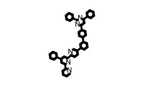 c1ccc(-c2cc(-c3ccccn3)nc(-c3ccc(-c4cccc(-c5ccc(-c6cc(-c7ccccc7)nc(-c7ccccc7)n6)cc5)c4)cn3)c2)cc1